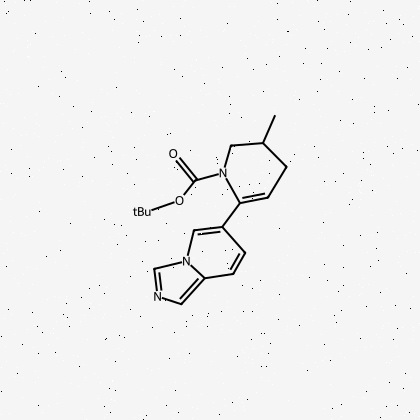 CC1CC=C(c2ccc3cncn3c2)N(C(=O)OC(C)(C)C)C1